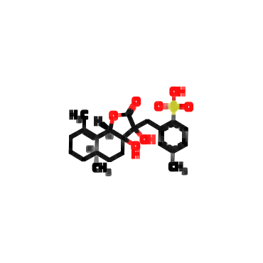 CC1=C2[C@@H]3OC(=O)C(O)(Cc4cc(C)ccc4S(=O)(=O)O)C3(O)CC[C@@]2(C)CCC1